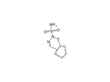 NS(=O)(=O)N1N=Cc2ccccc2S1